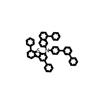 c1ccc(-c2cccc(-c3ccc(N(c4ccc5cccc(-c6ccccc6)c5c4)c4cc(-c5ccccc5)cc5c4sc4c(-c6ccccc6)cccc45)cc3)c2)cc1